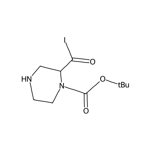 CC(C)(C)OC(=O)N1CCNCC1C(=O)I